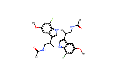 CCC(=O)NCC(C)c1c[nH]c2c(F)cc(OC(C)CC)cc12.CCCOc1cc(Cl)c2[nH]cc(C(CC)CNC(=O)CC)c2c1